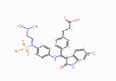 CN(C)CCN(c1ccc(N/C(=C2\C(=O)Nc3cc(Cl)ccc32)c2ccc(CCC(=O)O)cc2)cc1)S(C)(=O)=O